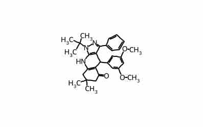 COc1cc(OC)cc(C2C3=C(CC(C)(C)CC3=O)Nc3c2c(-c2ccccc2)nn3C(C)(C)C)c1